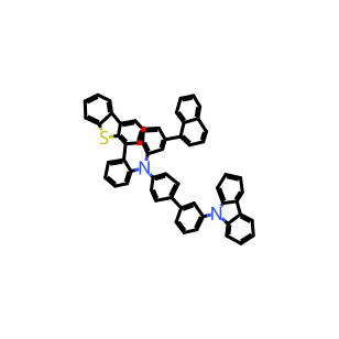 c1cc(-c2cccc3ccccc23)cc(N(c2ccc(-c3cccc(-n4c5ccccc5c5ccccc54)c3)cc2)c2ccccc2-c2cccc3c2sc2ccccc23)c1